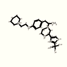 CC(Cc1ccc(OCCN2CCCCC2)cc1)N1CCOC(c2csc(C(F)(F)F)n2)C1